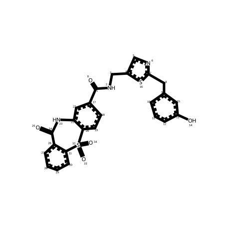 O=C(NCc1cnc(Cc2cccc(O)c2)s1)c1ccc2c(c1)NC(=O)c1ccccc1S2(=O)=O